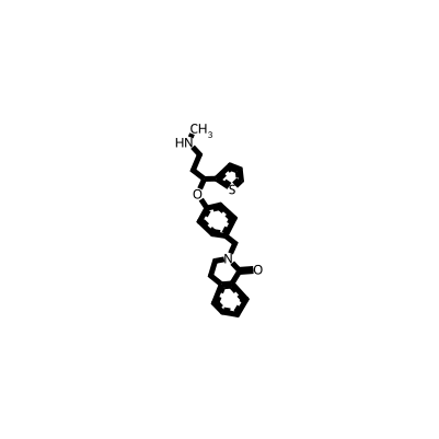 CNCCC(Oc1ccc(CN2CCc3ccccc3C2=O)cc1)c1cccs1